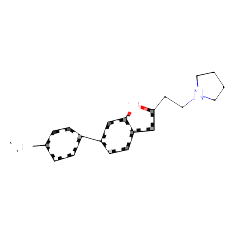 N#Cc1ccc(-c2ccc3cc(CCN4CCCC4)oc3c2)cc1